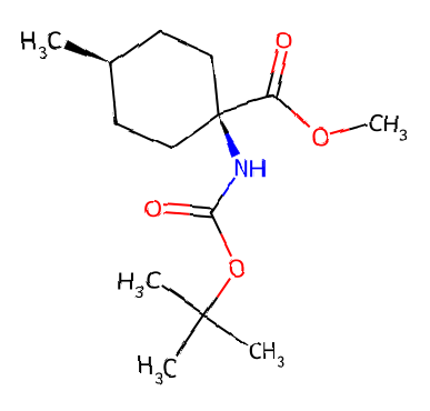 COC(=O)[C@]1(NC(=O)OC(C)(C)C)CC[C@@H](C)CC1